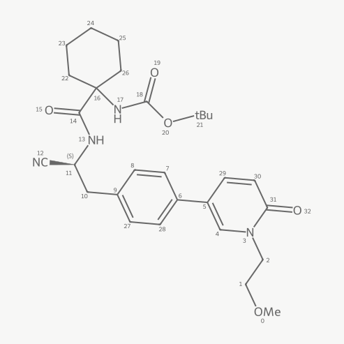 COCCn1cc(-c2ccc(C[C@@H](C#N)NC(=O)C3(NC(=O)OC(C)(C)C)CCCCC3)cc2)ccc1=O